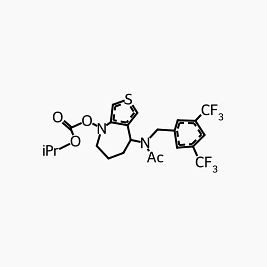 CC(=O)N(Cc1cc(C(F)(F)F)cc(C(F)(F)F)c1)C1CCCN(OC(=O)OC(C)C)c2cscc21